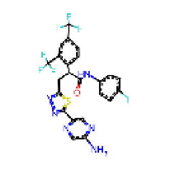 Nc1cnc(-c2nnc(CC(C(=O)Nc3ccc(F)cc3)c3ccc(C(F)(F)F)cc3C(F)(F)F)s2)cn1